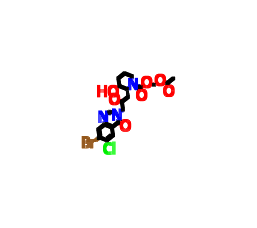 CC(=O)OCOC(=O)N1CCC[C@@H](O)[C@@H]1CC(=O)Cn1cnc2cc(Br)c(Cl)cc2c1=O